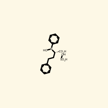 O=C(O)[C@H](CCc1ccccc1)N(O)c1ccccc1.O=S(=O)(O)O